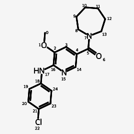 COc1cc(C(=O)N2CCCCCC2)cnc1Nc1ccc(Cl)cc1